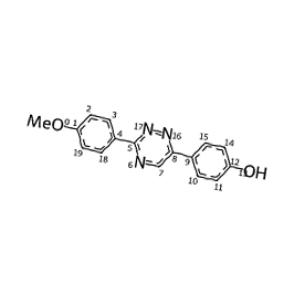 COc1ccc(-c2ncc(-c3ccc(O)cc3)nn2)cc1